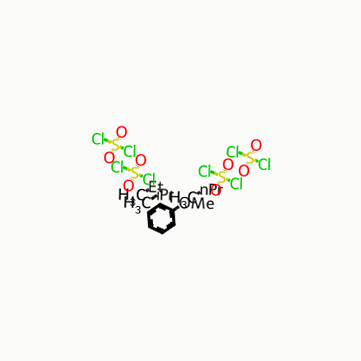 CC(C)C.CCC.CCCC.COc1ccccc1.O=S(=O)(Cl)Cl.O=S(=O)(Cl)Cl.O=S(=O)(Cl)Cl.O=S(=O)(Cl)Cl